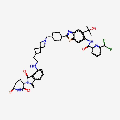 C=C1c2cccc(NCCC3CC4(C3)CN(C[C@H]3CC[C@H](c5nc6cc(C(C)(C)O)c(NC(=O)c7cccc(C(F)F)n7)cc6s5)CC3)C4)c2C(=O)N1C1CCC(=O)NC1=O